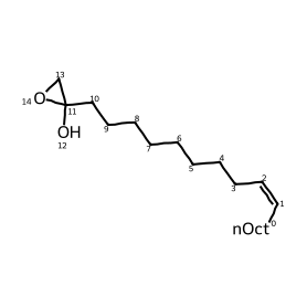 CCCCCCCC/C=C\CCCCCCCCC1(O)CO1